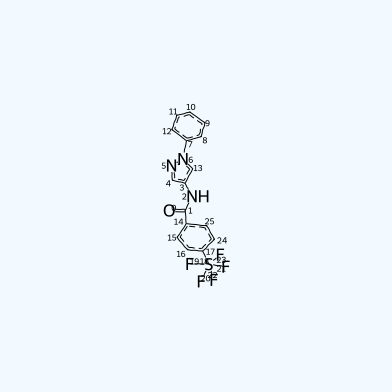 O=C(Nc1cnn(-c2ccccc2)c1)c1ccc(S(F)(F)(F)(F)F)cc1